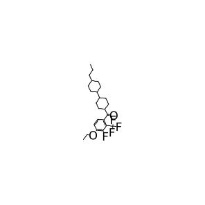 CCCC1CCC(C2CCC(C(=O)c3ccc(OCC)c(F)c3C(F)(F)F)CC2)CC1